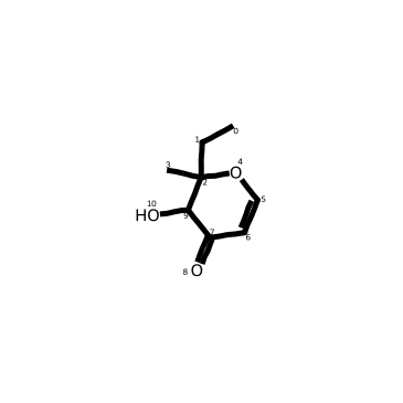 CCC1(C)OC=CC(=O)C1O